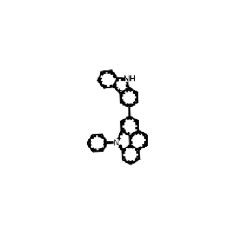 c1ccc(-n2c3cccc4ccc5cc(-c6ccc7[nH]c8ccccc8c7c6)cc2c5c43)cc1